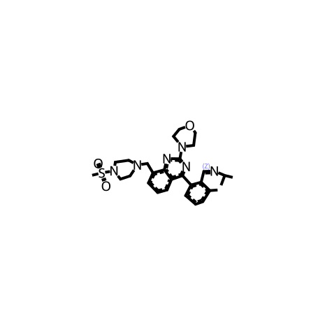 Cc1cccc(-c2nc(N3CCOCC3)nc3c(CN4CCN(S(C)(=O)=O)CC4)cccc23)c1/C=N\C(C)C